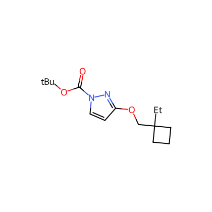 CCC1(COc2ccn(C(=O)OC(C)(C)C)n2)CCC1